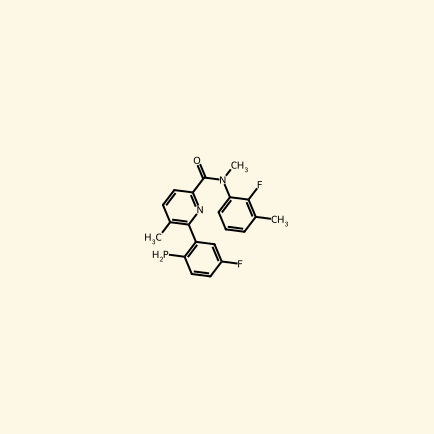 Cc1ccc(C(=O)N(C)c2cccc(C)c2F)nc1-c1cc(F)ccc1P